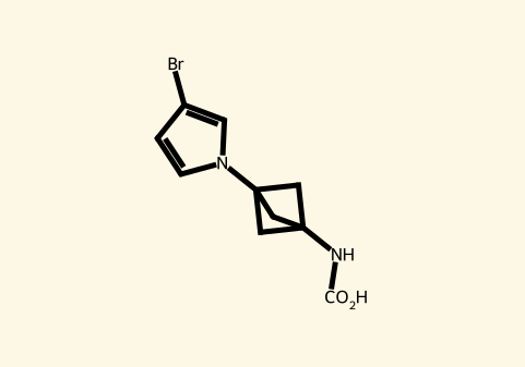 O=C(O)NC12CC(n3ccc(Br)c3)(C1)C2